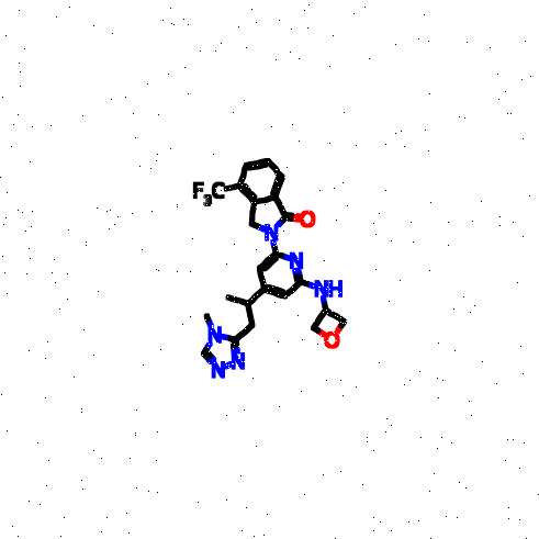 CC(Cc1nncn1C)c1cc(NC2COC2)nc(N2Cc3c(cccc3C(F)(F)F)C2=O)c1